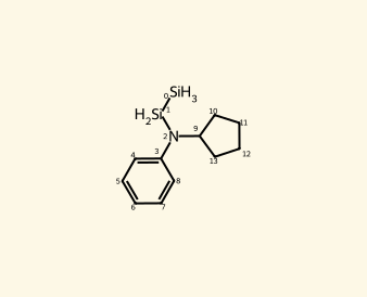 [SiH3][SiH2]N(c1ccccc1)C1CCCC1